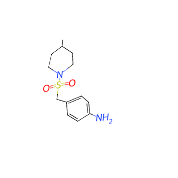 CC1CCN(S(=O)(=O)Cc2ccc(N)cc2)CC1